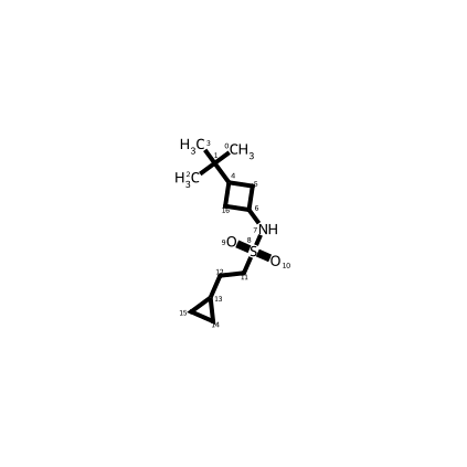 CC(C)(C)C1CC(NS(=O)(=O)CCC2CC2)C1